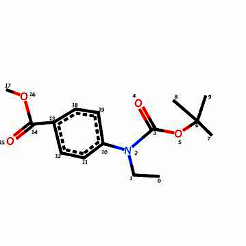 CCN(C(=O)OC(C)(C)C)c1ccc(C(=O)OC)cc1